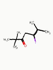 CC(C)C(I)CC(=O)C(C)(C)C